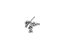 CCCCCCCCCCCCC(C[N+](C)(C)C)OP(=O)([O-])O.C[C@H](CCC(=O)O)[C@H]1CCC2C3C(C[C@H](O)[C@@]21C)[C@@]1(C)CC[C@@H](O)C[C@H]1C[C@H]3O